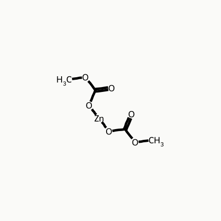 COC(=O)[O][Zn][O]C(=O)OC